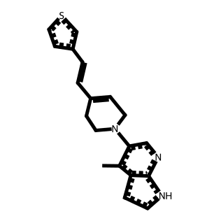 Cc1c(N2CC=C(C=Cc3ccsc3)CC2)cnc2[nH]ccc12